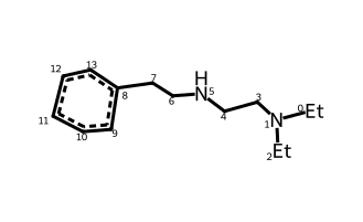 CCN(CC)CCNCCc1ccccc1